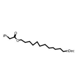 CCCCCCCCCCCCCCCCCCCCCCOC(=O)CC(C)C